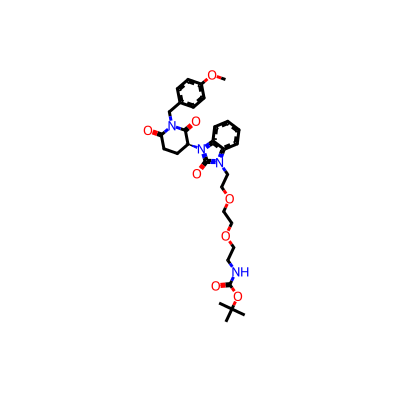 COc1ccc(CN2C(=O)CC[C@H](n3c(=O)n(CCOCCOCCNC(=O)OC(C)(C)C)c4ccccc43)C2=O)cc1